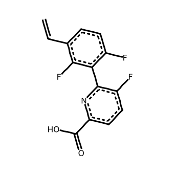 C=Cc1ccc(F)c(-c2nc(C(=O)O)ccc2F)c1F